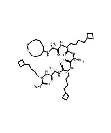 B[C@H](NC(=O)[C@H](CCCCC1CCC1)NC(=O)[C@H](B)NC(=O)[C@H](CCCCC1CCC1)NC(=O)[C@H](B)NC1CCCCCCCCC1)C(=O)N[C@@H](CCCCC1CCC1)C(=O)NC